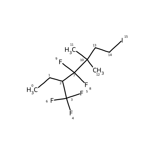 CCC(C(F)(F)F)C(F)(F)C(C)(C)CCI